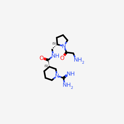 N=C(N)N1CCC[C@H](C(=O)NC[C@@H]2CCCN2C(=O)CN)C1